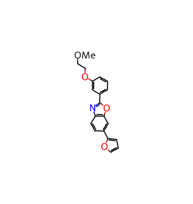 COCCOc1cccc(-c2nc3ccc(-c4ccco4)cc3o2)c1